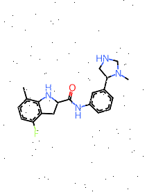 Cc1ccc(F)c2c1NC(C(=O)Nc1cccc(C3CNCN3C)c1)C2